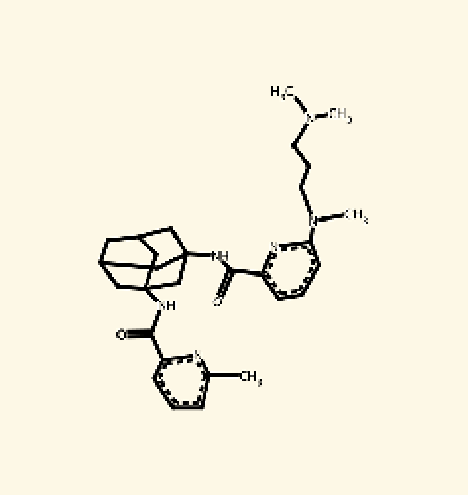 Cc1cccc(C(=O)NC23CC4CC(C2)CC(NC(=O)c2cccc(N(C)CCCN(C)C)n2)(C4)C3)n1